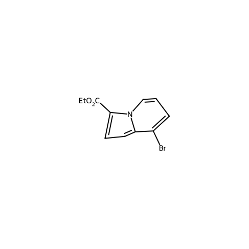 CCOC(=O)c1ccc2c(Br)cccn12